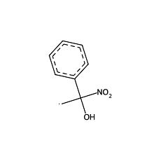 [CH2]C(O)(c1ccccc1)[N+](=O)[O-]